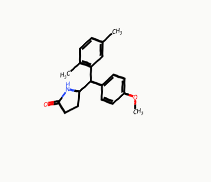 COc1ccc(C(c2cc(C)ccc2C)C2CCC(=O)N2)cc1